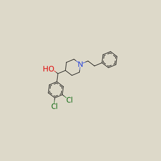 OC(c1ccc(Cl)c(Cl)c1)C1CCN(CCc2ccccc2)CC1